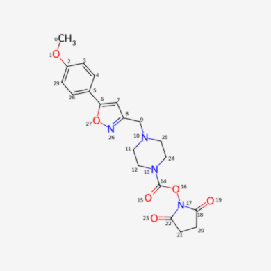 COc1ccc(-c2cc(CN3CCN(C(=O)ON4C(=O)CCC4=O)CC3)no2)cc1